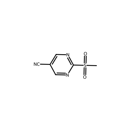 CS(=O)(=O)c1ncc(C#N)cn1